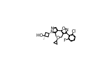 Cc1c(-c2onc(-c3c(F)cccc3Cl)c2COC2CC2)cnn1[C@H]1C[C@](C)(O)C1